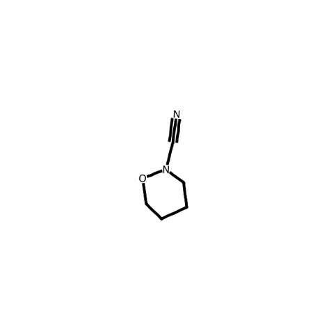 N#CN1CCCCO1